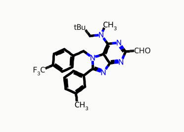 Cc1cccc(-c2nc3nc(C=O)nc(N(C)CC(C)(C)C)c3n2Cc2ccc(C(F)(F)F)cc2)c1